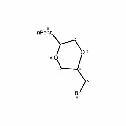 CCCCCC1COC(CBr)CO1